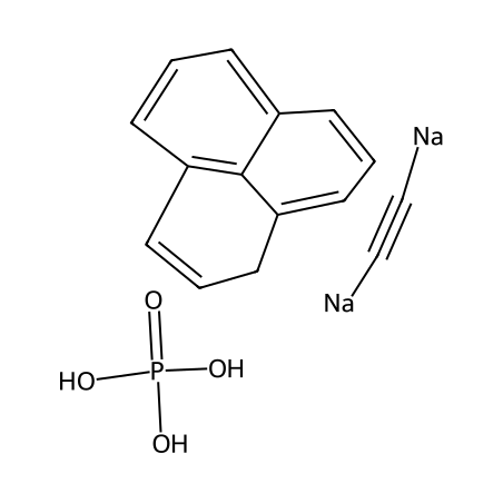 C1=Cc2cccc3cccc(c23)C1.O=P(O)(O)O.[Na][C]#[C][Na]